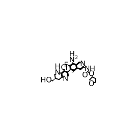 Cc1c(-c2cc3cc(NC(=O)O[C@H]4CCOC4)ncc3c(N)c2F)cnc2c1NC[C@H](CO)C2